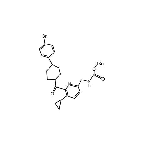 CC(C)(C)OC(=O)NCc1ccc(C2CC2)c(C(=O)C2CCC(c3ccc(Br)cc3)CC2)n1